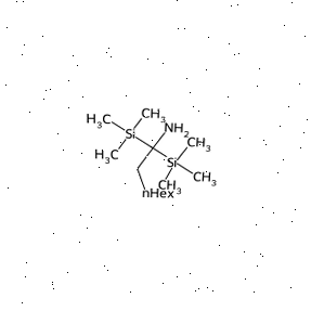 CCCCCCCC(N)([Si](C)(C)C)[Si](C)(C)C